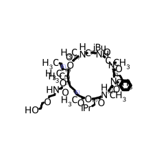 C/C=C(\C)[C@H]1OC(=O)[C@@H](C)NC[C@H](C(C)CC)NC(=O)CN(C)C(=O)[C@@H](Cc2ccccc2)N(C)C(=O)[C@H](C)NC(=O)[C@@H](CC(C)C)OC(=O)/C(C)=C/C[C@H](OC(=O)NCCOCCO)[C@@H]1C